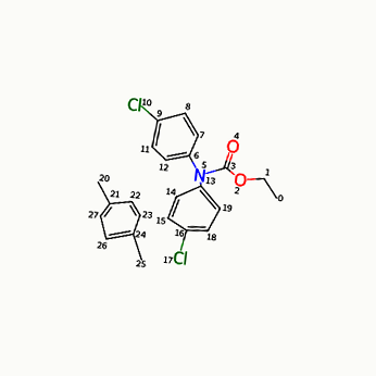 CCOC(=O)N(c1ccc(Cl)cc1)c1ccc(Cl)cc1.Cc1ccc(C)cc1